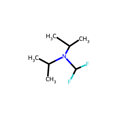 CC(C)N(C(C)C)C(F)F